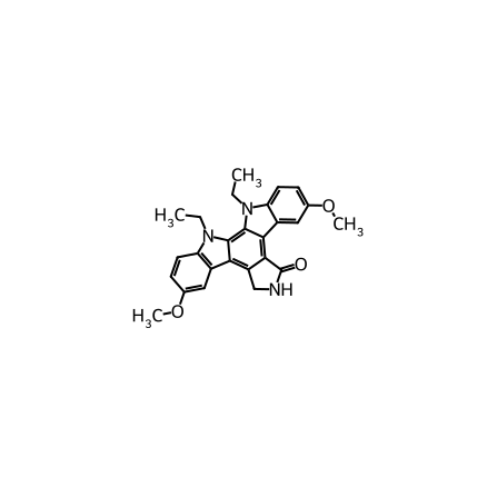 CCn1c2ccc(OC)cc2c2c3c(c4c5cc(OC)ccc5n(CC)c4c21)C(=O)NC3